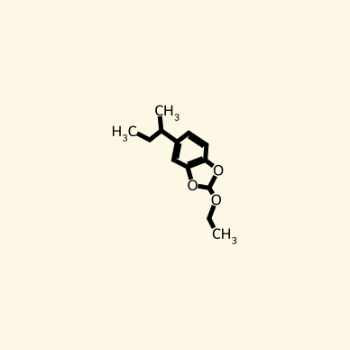 CCOC1Oc2ccc(C(C)CC)cc2O1